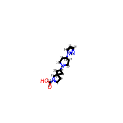 O=C(O)N1CCC2(CC(N3CCC(n4cccn4)CC3)C2)C1